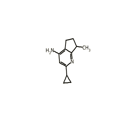 CC1CCc2c(N)cc(C3CC3)nc21